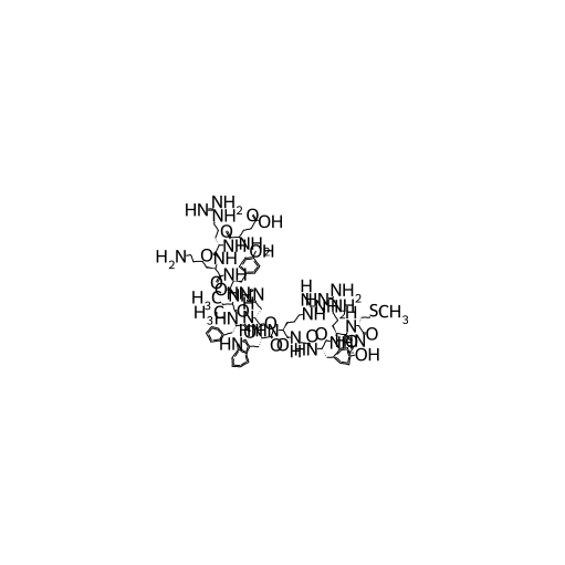 CSCC[C@@H](NC(=O)[C@H](CCCNC(=N)N)NC(=O)[C@H](Cc1ccc(O)cc1)NC(=O)CNC(=O)[C@H](CCCNC(=N)N)NC(=O)[C@H](Cc1c[nH]c2ccccc12)NC(=O)[C@@H](Cc1c[nH]cn1)NC(=O)[C@H](Cc1ccccc1)NC(=O)[C@H](NC(=O)[C@H](Cc1ccc(O)cc1)NC(=O)[C@@H](CCCCN)NC(=O)[C@H](CCCNC(=N)N)NC(=O)[C@@H](N)CCC(=O)O)C(C)C)C(N)=O